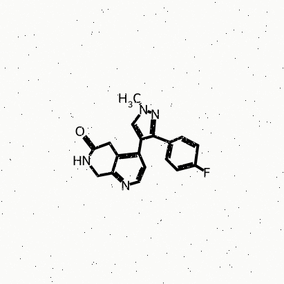 Cn1cc(-c2ccnc3c2CC(=O)NC3)c(-c2ccc(F)cc2)n1